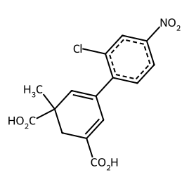 CC1(C(=O)O)C=C(c2ccc([N+](=O)[O-])cc2Cl)C=C(C(=O)O)C1